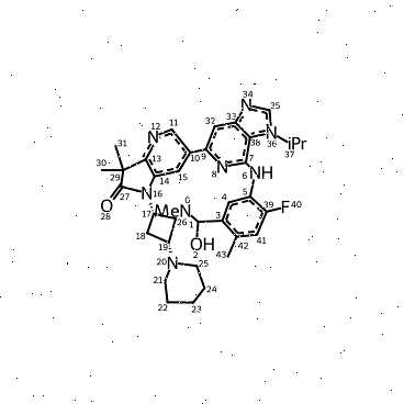 CNC(O)c1cc(Nc2nc(-c3cnc4c(c3)N([C@H]3C[C@@H](N5CCCCC5)C3)C(=O)C4(C)C)cc3ncn(C(C)C)c23)c(F)cc1C